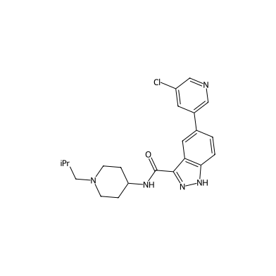 CC(C)CN1CCC(NC(=O)c2n[nH]c3ccc(-c4cncc(Cl)c4)cc23)CC1